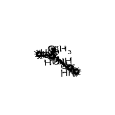 CS(=O)(=O)Nc1cc(CC(O)NCCOc2ccc3c(c2)[nH]c2ccccc23)ccc1OCc1ccccc1